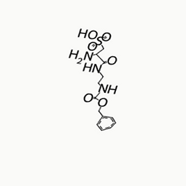 NC(CS(=O)(=O)O)C(=O)NCCNC(=O)OCc1ccccc1